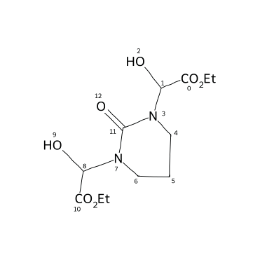 CCOC(=O)C(O)N1CCCN(C(O)C(=O)OCC)C1=O